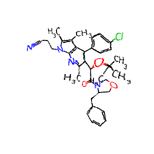 Cc1nc2c(c(C)c(C)n2CCC#N)c(-c2ccc(Cl)cc2)c1[C@@H](OC(C)(C)C)C(=O)N1COC[C@H]1Cc1ccccc1